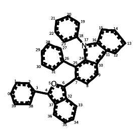 c1ccc(-c2oc(-c3ccc4c5ccccc5n(-c5ccccc5)c4c3-c3ccccc3)c3ccccc23)cc1